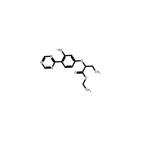 CCOC(=O)C(CC)Oc1ccc(-c2ncncn2)c(O)c1